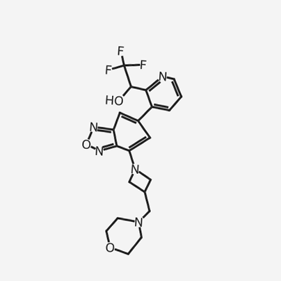 OC(c1ncccc1-c1cc(N2CC(CN3CCOCC3)C2)c2nonc2c1)C(F)(F)F